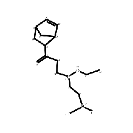 C=C(CCP(CCB(C)I)OCC)C1CC2C=CC1C2